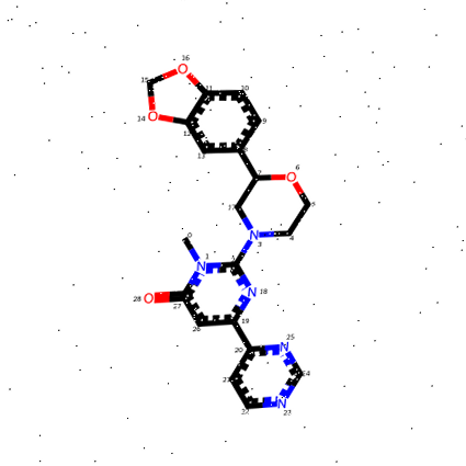 Cn1c(N2CCOC(c3ccc4c(c3)OCO4)C2)nc(-c2ccncn2)cc1=O